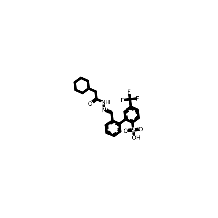 O=C(CC1CCCCC1)N/N=C/c1ccccc1-c1cc(C(F)(F)F)ccc1S(=O)(=O)O